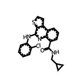 O=C(NCC1CC1)c1cccc2c1nc(Nc1ccccc1Cl)c1sccc12